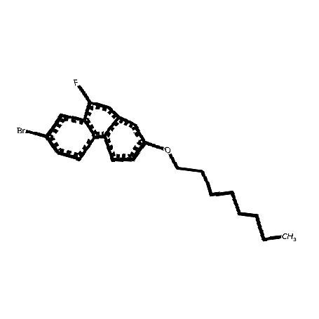 CCCCCCCCOc1ccc2c(c1)cc(F)c1cc(Br)ccc12